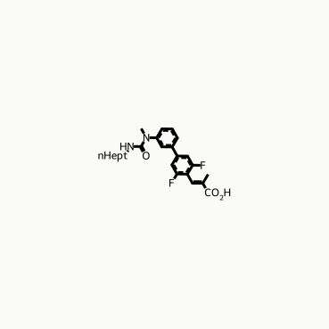 CCCCCCCNC(=O)N(C)c1cccc(-c2cc(F)c(/C=C(\C)C(=O)O)c(F)c2)c1